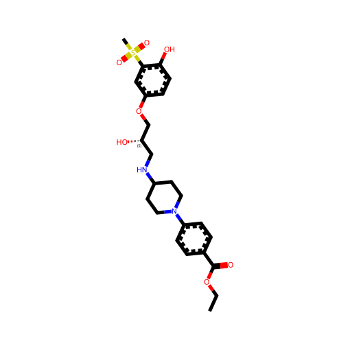 CCOC(=O)c1ccc(N2CCC(NC[C@H](O)COc3ccc(O)c(S(C)(=O)=O)c3)CC2)cc1